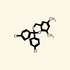 Cc1cc(C)c2c(c1)CSC(c1ccc(Cl)cc1)(c1ccc(Cl)cc1)O2